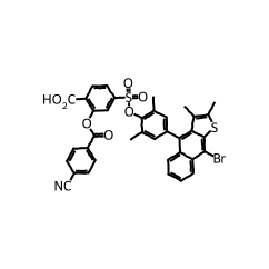 Cc1cc(-c2c3ccccc3c(Br)c3sc(C)c(C)c23)cc(C)c1OS(=O)(=O)c1ccc(C(=O)O)c(OC(=O)c2ccc(C#N)cc2)c1